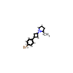 CC1CCCN1C1CC(c2ccc(Br)cc2)C1